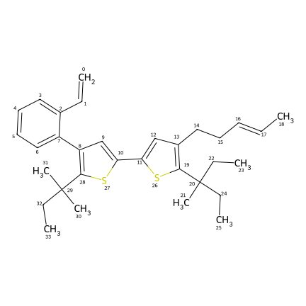 C=Cc1ccccc1-c1cc(-c2cc(CC/C=C/C)c(C(C)(CC)CC)s2)sc1C(C)(C)CC